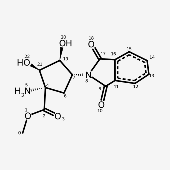 COC(=O)[C@]1(N)C[C@@H](N2C(=O)c3ccccc3C2=O)[C@H](O)[C@@H]1O